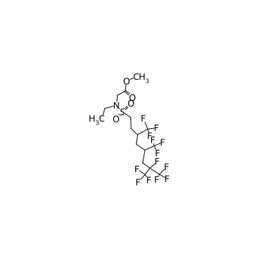 CCN(CC(=O)OC)S(=O)(=O)CCC(CC(CC(F)(C(F)(F)F)C(F)(F)F)C(F)(F)F)C(F)(F)F